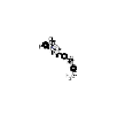 CC(C)c1cc(F)ccc1N1C(=O)CS/C1=N\C(=O)NC(C)C(F)c1ccc(-c2ncn(-c3ccc(OC(F)(F)F)cc3)n2)cc1